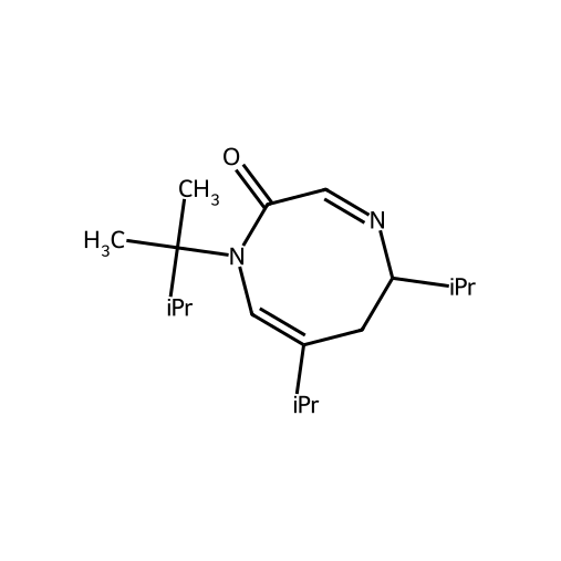 CC(C)/C1=C/N(C(C)(C)C(C)C)C(=O)/C=N\C(C(C)C)C1